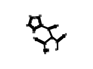 CC(=O)C(C(=O)O)C(=O)c1ccco1